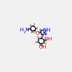 Nc1cccc(Oc2c[nH]nc2-c2ccc(O)cc2O)c1